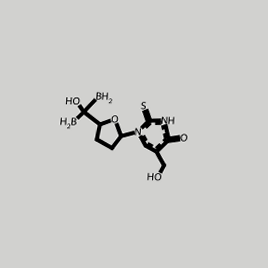 BC(B)(O)C1CCC(n2cc(CO)c(=O)[nH]c2=S)O1